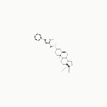 Cc1oc(-c2ccccc2)cc1C(=O)N(C)C1CCC2(C)C(=CCC3C2CCC24CN(C)C(C)C2CCC34)C1